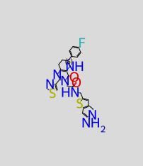 Nc1cc2sc(CNC(=O)Cn3c(-c4cscn4)nc4c(c3=O)N[C@H](c3ccc(F)cc3)CC4)cc2cn1